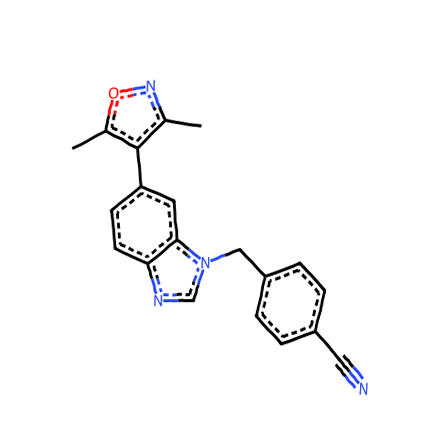 Cc1noc(C)c1-c1ccc2ncn(Cc3ccc(C#N)cc3)c2c1